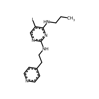 CCCNc1nc(NCCc2ccncc2)ncc1I